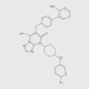 CCCc1c(Cc2ccc(-c3ccccc3C#N)cc2)c(=O)n(C2CCC(Oc3ccc(C(C)=O)cc3)CC2)c2ncnn12